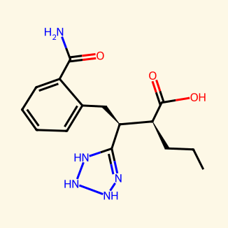 CCC[C@H](C(=O)O)[C@H](Cc1ccccc1C(N)=O)C1=NNNN1